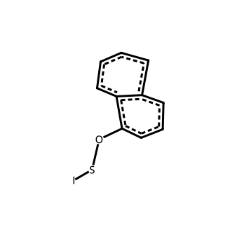 ISOc1cccc2ccccc12